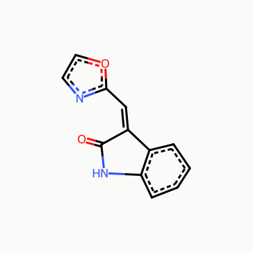 O=C1Nc2ccccc2/C1=C/c1ncco1